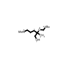 CNCCCC(C)(CO)OCC(C)(C)C